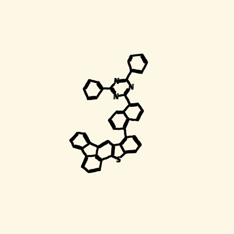 c1ccc(-c2nc(-c3ccccc3)nc(-c3cccc4c(-c5cccc6sc7c8cccc9c8c(cc7c56)-c5ccccc5-9)cccc34)n2)cc1